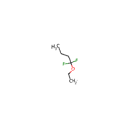 [CH2]COC(F)(F)CCC